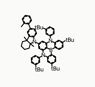 Cc1ccccc1-c1ccc2c(c1)C1(C)CCCCC1(C)N2c1cc2c3c(c1)N(c1cccc(C(C)(C)C)c1)c1cc(C(C)(C)C)ccc1B3c1ccc(C(C)(C)C)cc1N2c1cccc(C(C)(C)C)c1